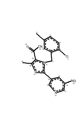 Cc1ccc(Cl)c(Cn2c(-c3cncc(N=O)c3)nc(C)c2C(=O)C#N)c1